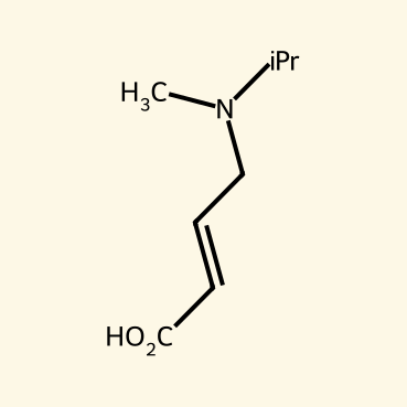 CC(C)N(C)CC=CC(=O)O